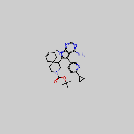 Cn1c(C2CN(C(=O)OC(C)(C)C)CCC23CC=CCC3)c(-c2ccc(C3CC3)nc2)c2c(N)ncnc21